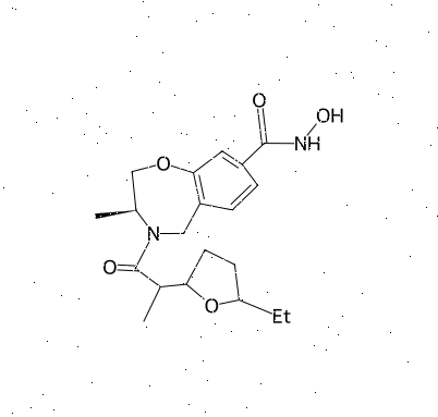 CCC1CCC(C(C)C(=O)N2Cc3ccc(C(=O)NO)cc3OC[C@@H]2C)O1